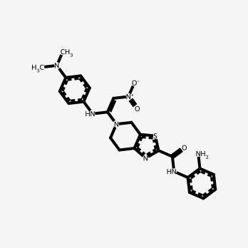 CN(C)c1ccc(NC(=C[N+](=O)[O-])N2CCc3nc(C(=O)Nc4ccccc4N)sc3C2)cc1